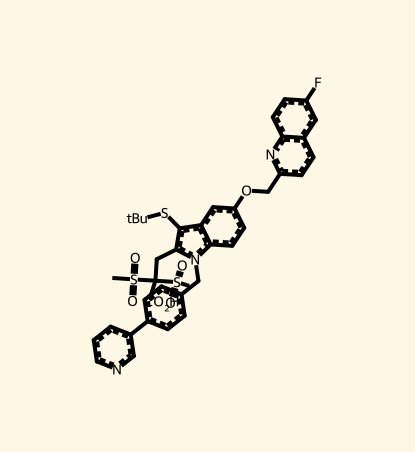 CC(C)(C)Sc1c(CC(C(=O)O)(S(C)(=O)=O)S(C)(=O)=O)n(Cc2ccc(-c3cccnc3)cc2)c2ccc(OCc3ccc4cc(F)ccc4n3)cc12